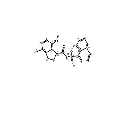 COc1ccc(Br)c2c1[C@@H](C(=O)NS(=O)(=O)c1cccc3ccccc13)CC2